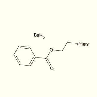 CCCCCCCCCOC(=O)c1ccccc1.[BaH2]